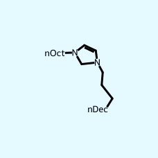 CCCCCCCCCCCCCN1C=CN(CCCCCCCC)C1